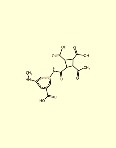 CNc1cc(NC(=O)C2C(C(C)=O)C(C(=O)O)C2C(=O)O)cc(C(=O)O)c1